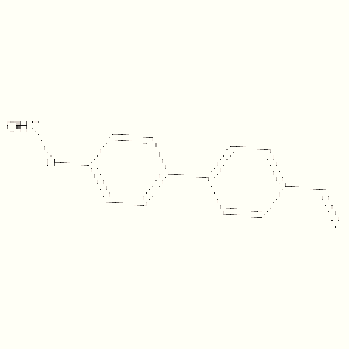 C=Cc1ccc(-c2ccc(OC=O)cc2)cc1